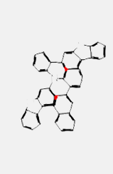 c1ccc(N(c2ccc3c(c2)oc2ccccc23)c2ccccc2-c2ccc3c(c2)sc2ccccc23)c(-c2ccc3ccccc3c2)c1